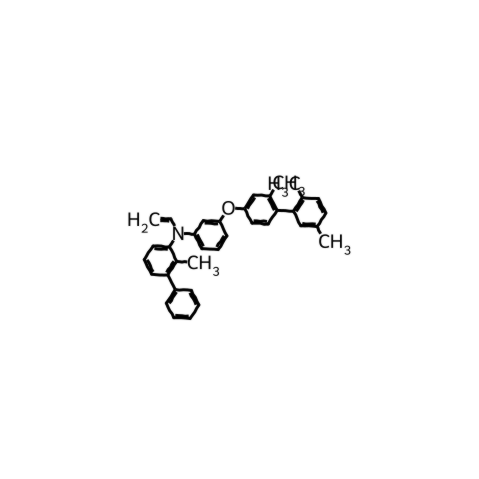 C=CN(c1cccc(Oc2ccc(-c3cc(C)ccc3C)c(C)c2)c1)c1cccc(-c2ccccc2)c1C